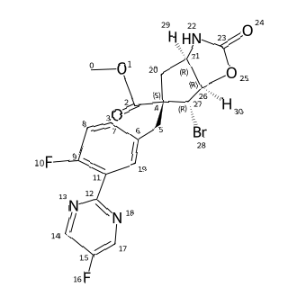 COC(=O)[C@]1(Cc2ccc(F)c(-c3ncc(F)cn3)c2)C[C@H]2NC(=O)O[C@H]2[C@@H]1Br